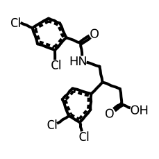 O=C(O)CC(CNC(=O)c1ccc(Cl)cc1Cl)c1ccc(Cl)c(Cl)c1